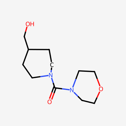 O=C(N1CCOCC1)N1CCC(CO)CC1